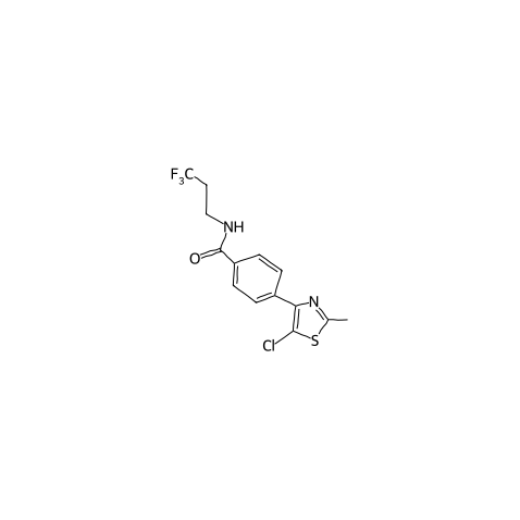 Cc1nc(-c2ccc(C(=O)NCCC(F)(F)F)cc2)c(Cl)s1